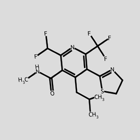 CNC(=O)c1c(C(F)F)nc(C(F)(F)F)c(C2=NCCS2)c1CC(C)C